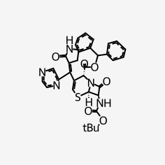 CC(C)(C)OC(=O)N[C@@H]1C(=O)N2[C@@H](C(=O)OC(c3ccccc3)c3ccccc3)C(C(=C3CCNC3=O)c3cnccn3)=CS[C@H]12